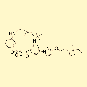 CCC1(C)CCC1CCOc1ccn(-c2ccc3c(n2)N2C/C(=C(\C)CCNC4=CCCC(=N4)S(=O)(=O)NC3=O)CC2(C)C)n1